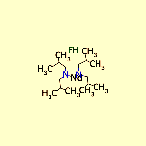 CC(C)C[N](CC(C)C)[Nd][N](CC(C)C)CC(C)C.F